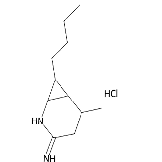 CCCCC1C2NC(=N)CC(C)C12.Cl